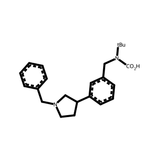 CC(C)(C)N(Cc1cccc(C2CCN(Cc3ccccc3)C2)c1)C(=O)O